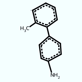 Cc1[c]cccc1-c1ccc(N)cc1